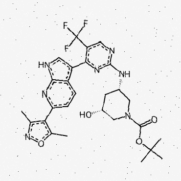 Cc1noc(C)c1-c1ccc2c(-c3nc(N[C@H]4C[C@@H](O)CN(C(=O)OC(C)(C)C)C4)ncc3C(F)(F)F)c[nH]c2n1